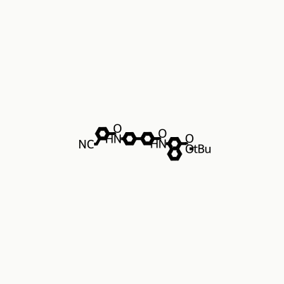 CC(C)(C)OC(=O)c1ccc(NC(=O)c2ccc(-c3ccc(NC(=O)c4cccc(CC#N)c4)cc3)cc2)c2ccccc12